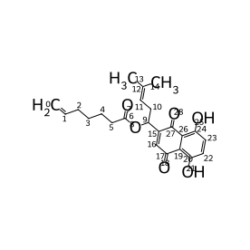 C=CCCCCC(=O)OC(CC=C(C)C)C1=CC(=O)c2c(O)ccc(O)c2C1=O